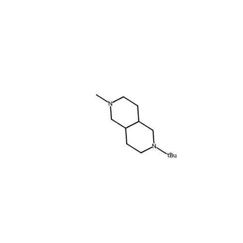 CN1CCC2CN(C(C)(C)C)CCC2C1